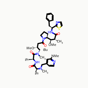 CC[C@H](C)[C@@H]([C@@H](CC(=O)N1CCC[C@H]1[C@H](OC)[C@@H](C)C(=O)N[C@@H](Cc1ccccc1)c1nccs1)OC)N(C)C(=O)[C@@H](NC(=O)[C@H](C(C)C)N(C)Cc1ccnc(NC)c1)C(C)C